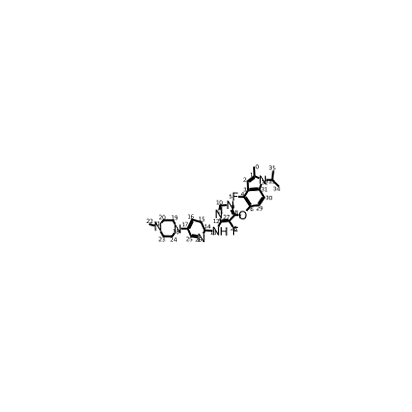 Cc1cc2c(F)c(Oc3ncnc(NC4CC=C(N5CCN(C)CC5)C=N4)c3F)ccc2n1C(C)C